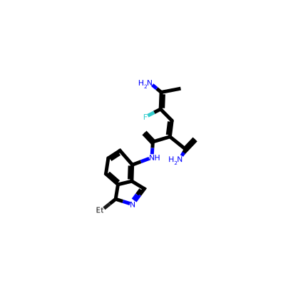 C=C(N)/C(=C/C(F)=C(\C)N)C(=C)Nc1cccc2c1C=NC2CC